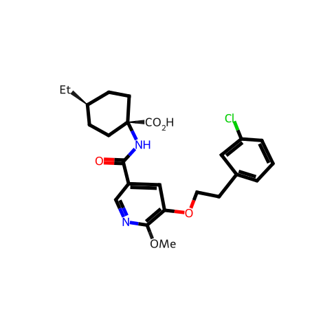 CC[C@H]1CC[C@@](NC(=O)c2cnc(OC)c(OCCc3cccc(Cl)c3)c2)(C(=O)O)CC1